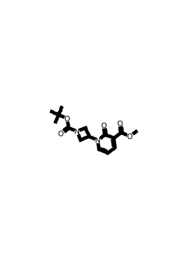 COC(=O)c1cccn(C2CN(C(=O)OC(C)(C)C)C2)c1=O